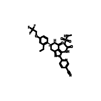 CCc1cc(OCC(F)(F)F)ccc1[C@H]1Cc2nn(-c3ccc(C#N)cn3)c(NC(=O)CS(=O)(=O)NC)c2C(=O)N1